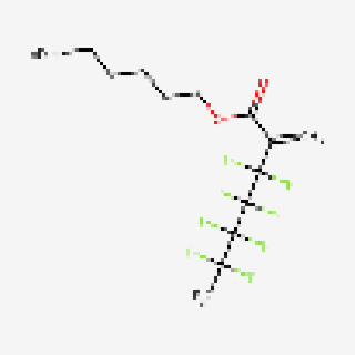 C=C(C(=O)OCCCCCCCCCCCCCCC)C(F)(F)C(F)(F)C(F)(F)C(F)(F)C(F)(F)F